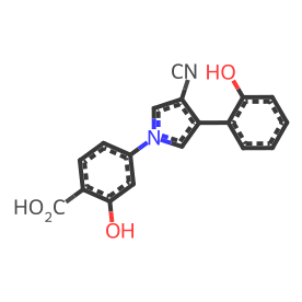 N#Cc1cn(-c2ccc(C(=O)O)c(O)c2)cc1-c1ccccc1O